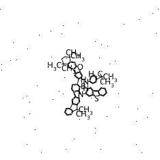 CC(C)(C)c1ccc(Nc2cc3oc4cc5c(cc4c3cc2-c2ccc3c4cc6c(cc4n4c3c2Bc2cc3c(cc2-4)sc2ccccc23)C(C)(C)c2ccccc2-6)C(C)(C)CCC5(C)C)cc1